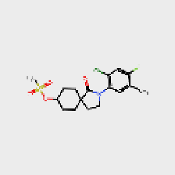 Cc1cc(N2CCC3(CCC(OS(C)(=O)=O)CC3)C2=O)c(Cl)cc1F